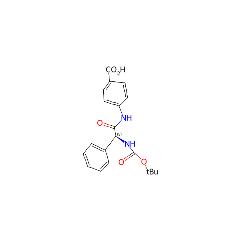 CC(C)(C)OC(=O)N[C@H](C(=O)Nc1ccc(C(=O)O)cc1)c1ccccc1